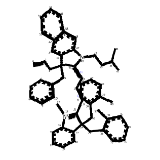 C=CCC1(Cc2ccccc2)/C(=C\C=C\C2=[N+](C)c3ccccc3C2(Cc2ccccc2C)Cc2ccccc2C)N(CCC(C)C)c2cc3ccccc3cc21